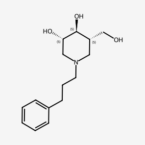 OC[C@@H]1CN(CCCc2ccccc2)C[C@H](O)[C@H]1O